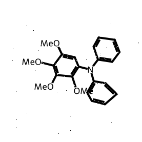 COc1cc(N(c2ccccc2)c2ccccc2)c(OC)c(OC)c1OC